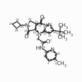 Cc1ccc(NC(=O)Cn2c3c(c(=O)n4nc(C(C)(C)C)cc24)CN(C2CCC2)C3=O)nc1